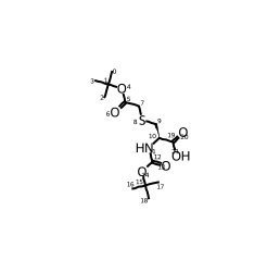 CC(C)(C)OC(=O)CSC[C@H](NC(=O)OC(C)(C)C)C(=O)O